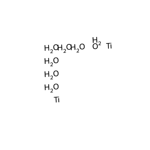 O.O.O.O.O.O.O.[Ti].[Ti]